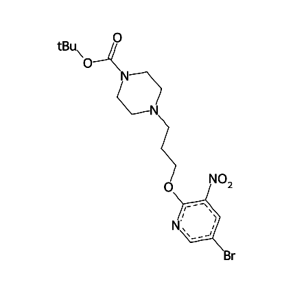 CC(C)(C)OC(=O)N1CCN(CCCOc2ncc(Br)cc2[N+](=O)[O-])CC1